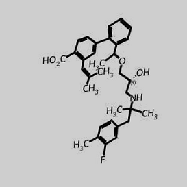 CC(C)=Cc1cc(-c2ccccc2C(C)OC[C@H](O)CNC(C)(C)Cc2ccc(C)c(F)c2)ccc1C(=O)O